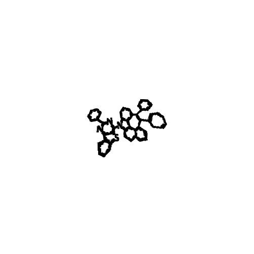 C1=CC=C(C2=C(c3ccccc3)c3cccc4c3c3c5c2cccc5ccc3n4-c2nc(-c3ccccc3)nc3c2sc2ccccc23)CC=C1